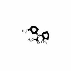 CC(=O)N(C1=C(C)CCC=C1)c1cccc(C)c1